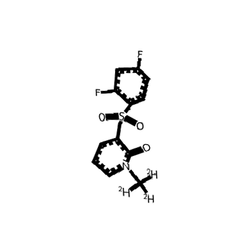 [2H]C([2H])([2H])n1cccc(S(=O)(=O)c2ccc(F)cc2F)c1=O